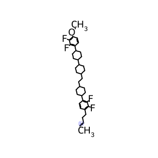 C/C=C/CCc1ccc(C2CCC(CCC3CCC(C4CCC(c5ccc(OCC)c(F)c5F)CC4)CC3)CC2)c(F)c1F